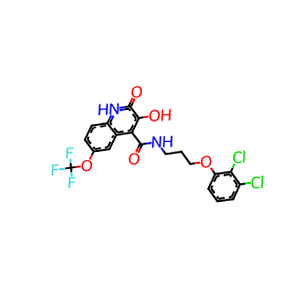 O=C(NCCCOc1cccc(Cl)c1Cl)c1c(O)c(=O)[nH]c2ccc(OC(F)(F)F)cc12